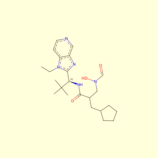 CCn1c([C@@H](NC(=O)C(CC2CCCC2)CN(O)C=O)C(C)(C)C)nc2cnccc21